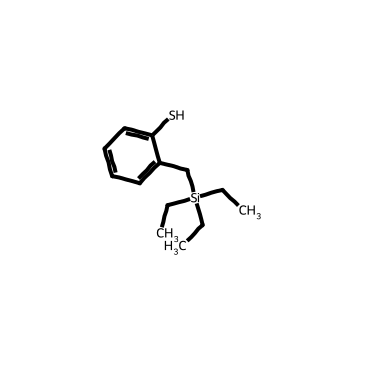 CC[Si](CC)(CC)Cc1ccccc1S